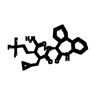 NC(=O)[C@H](CCC(F)(F)F)[C@H](CC1CC1)C(=O)N[C@@H]1C(=O)Nc2ccccc2-c2ccccc21